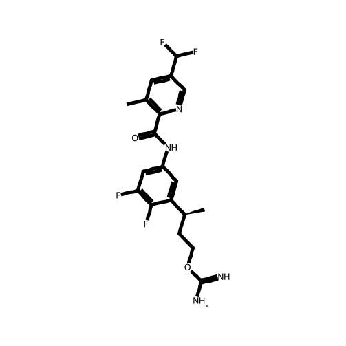 Cc1cc(C(F)F)cnc1C(=O)Nc1cc(F)c(F)c([C@@H](C)CCOC(=N)N)c1